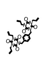 C=CCn1c(=O)n(CC=C)c(=O)n(Cc2ccc(Cn3c(=O)n(CC=C)c(=O)n(CC=C)c3=O)cc2)c1=O